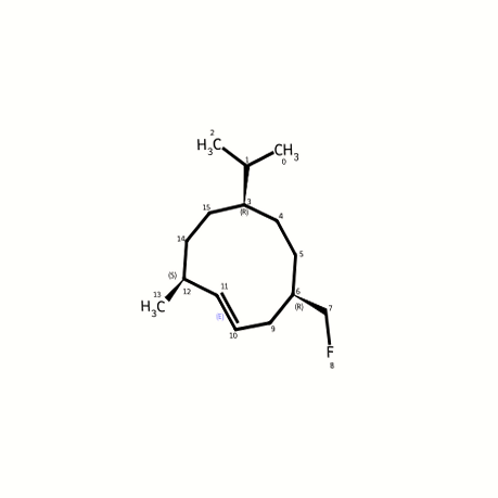 CC(C)[C@H]1CC[C@@H](CF)C/C=C/[C@@H](C)CC1